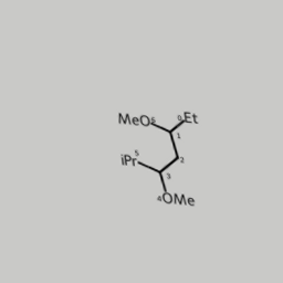 CCC(CC(OC)C(C)C)OC